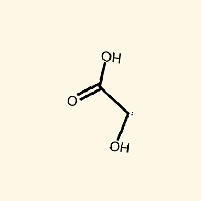 O=C(O)[C]O